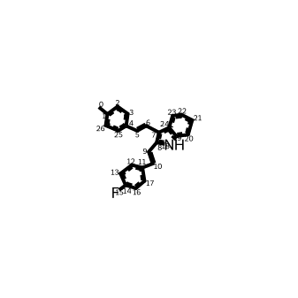 Cc1ccc(/C=C/c2c(/C=C/c3ccc(F)cc3)[nH]c3ccccc23)cc1